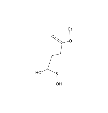 CCOC(=O)CCC(O)SO